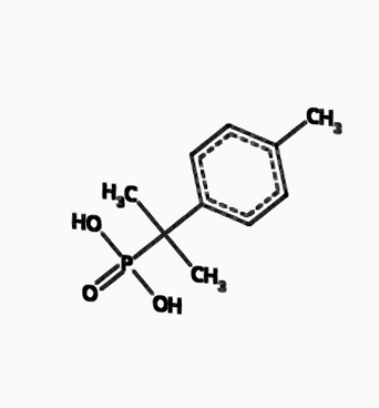 Cc1ccc(C(C)(C)P(=O)(O)O)cc1